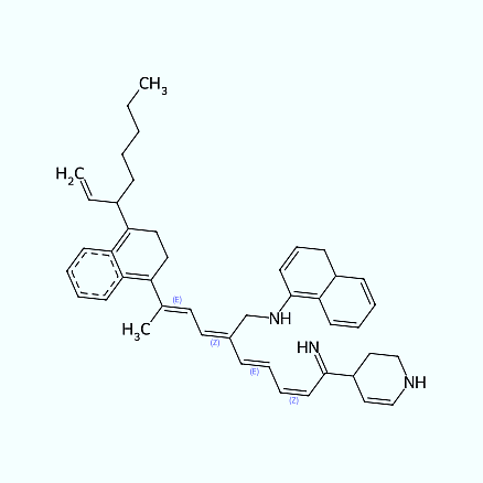 C=CC(CCCCC)C1=c2ccccc2=C(/C(C)=C/C=C(/C=C/C=C\C(=N)C2C=CNCC2)CNC2=C3C=CC=CC3CC=C2)CC1